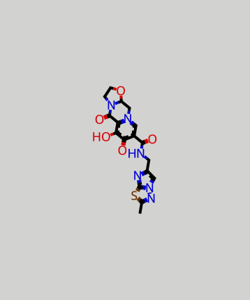 Cc1nn2cc(CNC(=O)c3cn4c(c(O)c3=O)C(=O)N3CCOC3C4)nc2s1